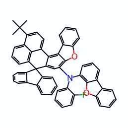 CC(C)(C)c1ccc2c3c(cccc13)C1(c3ccccc3-c3ccccc31)c1cc(N(c3ccccc3F)c3cccc4c3oc3ccccc34)c3oc4ccccc4c3c1-2